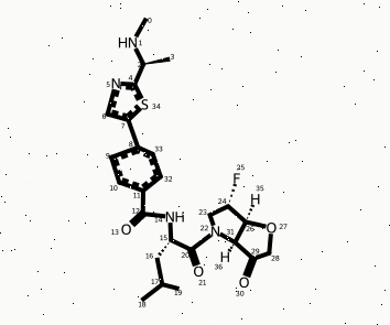 CN[C@@H](C)c1ncc(-c2ccc(C(=O)N[C@@H](CC(C)C)C(=O)N3C[C@H](F)[C@H]4OCC(=O)[C@H]43)cc2)s1